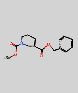 CC(C)(C)OC(=O)N1CCCC(C(=O)OCc2ccccc2)C1